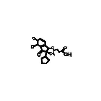 CC1(C2CCCC2)C(=O)c2c(ccc(Cl)c2Cl)C1OCCCC(=O)O